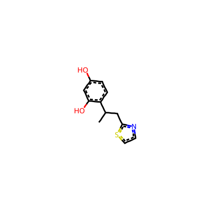 CC(Cc1nccs1)c1ccc(O)cc1O